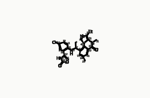 CCc1ncn2c3c(C(C)Nc4ccc(Cl)nc4-c4noc(=O)[nH]4)cc(C)cc3c(=O)n(C)c12